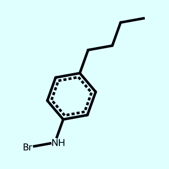 CCCCc1ccc(NBr)cc1